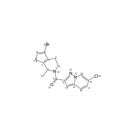 CC1c2scc(Br)c2CCN1C(=O)c1cc2ccc(Cl)cn2n1